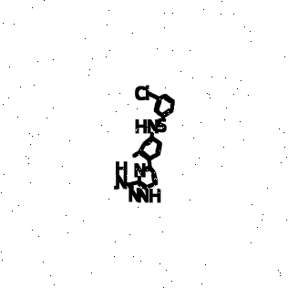 CNc1n[nH]c2ccc(-c3ccc(NSc4cccc(Cl)c4)cc3C)nc12